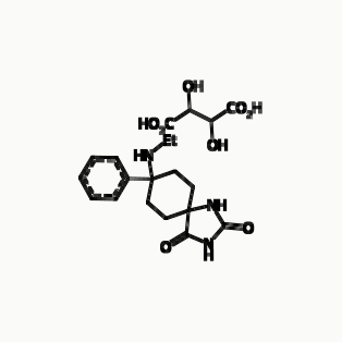 CCNC1(c2ccccc2)CCC2(CC1)NC(=O)NC2=O.O=C(O)C(O)C(O)C(=O)O